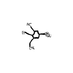 CCc1c(C#N)cc(C(C)CC)cc1CC#N